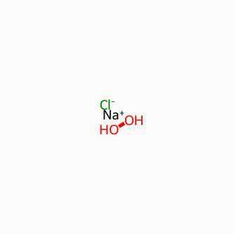 OO.[Cl-].[Na+]